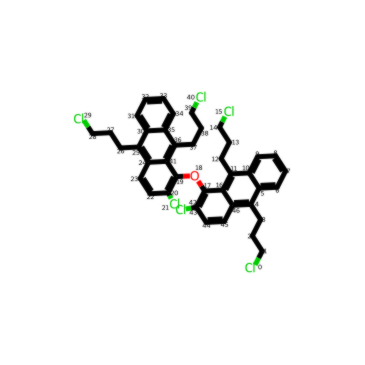 ClCCCc1c2ccccc2c(CCCCl)c2c(Oc3c(Cl)ccc4c(CCCCl)c5ccccc5c(CCCCl)c34)c(Cl)ccc12